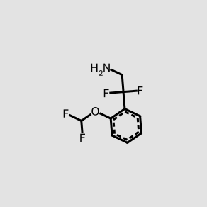 NCC(F)(F)c1ccccc1OC(F)F